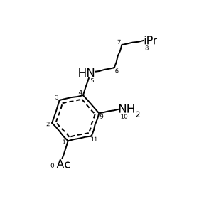 CC(=O)c1ccc(NCCC(C)C)c(N)c1